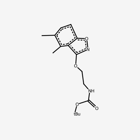 Cc1ccc2onc(OCCNC(=O)OC(C)(C)C)c2c1C